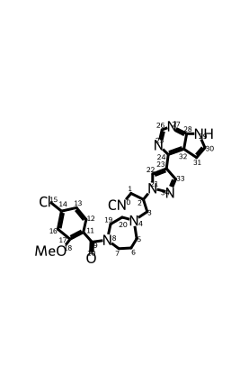 [C-]#[N+]CC(CN1CCCN(C(=O)c2ccc(Cl)cc2OC)CC1)n1cc(-c2ncnc3[nH]ccc23)cn1